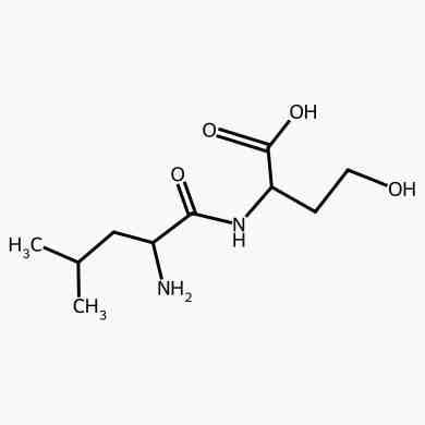 CC(C)CC(N)C(=O)NC(CCO)C(=O)O